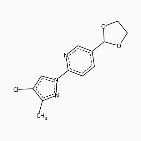 Cc1nn(-c2ccc(C3OCCO3)cn2)cc1Cl